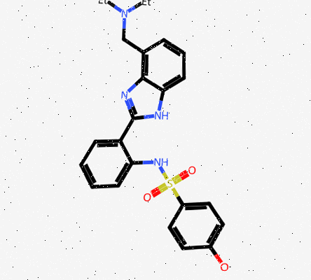 CCN(CC)Cc1cccc2[nH]c(-c3ccccc3NS(=O)(=O)c3ccc([O])cc3)nc12